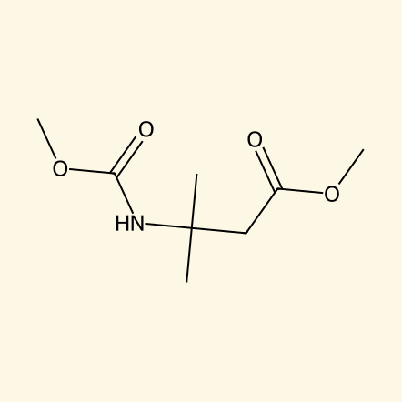 COC(=O)CC(C)(C)NC(=O)OC